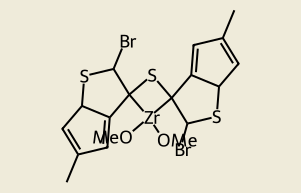 C[O][Zr]1([O]C)[C]2(S[C]13C1=CC(C)=CC1SC3Br)C1=CC(C)=CC1SC2Br